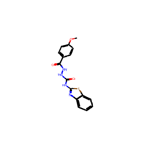 COc1ccc(C(=O)NNC(=O)Nc2nc3ccccc3s2)cc1